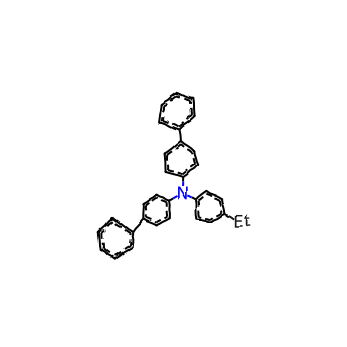 CCc1ccc(N(c2ccc(-c3ccccc3)cc2)c2ccc(-c3ccccc3)cc2)cc1